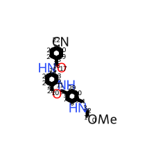 COCCNCc1ccc(C(=O)Nc2cc(NC(=O)c3ccc(C#N)cc3)ccc2C)cc1